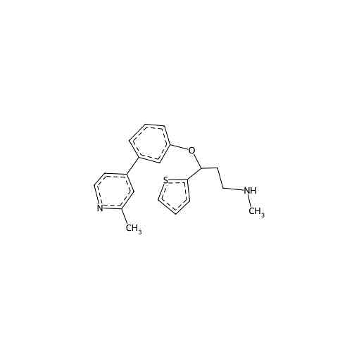 CNCCC(Oc1cccc(-c2ccnc(C)c2)c1)c1cccs1